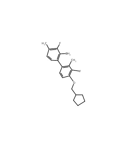 Bc1c(-c2ccc(OCC3CCCC3)c(F)c2C)ccc(C)c1F